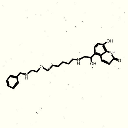 O=c1ccc2c(C(O)CNCCCCCCOCCNCc3ccccc3)ccc(O)c2[nH]1